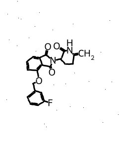 C=C1CCC(N2C(=O)c3cccc(OCc4cccc(F)c4)c3C2=O)C(=O)N1